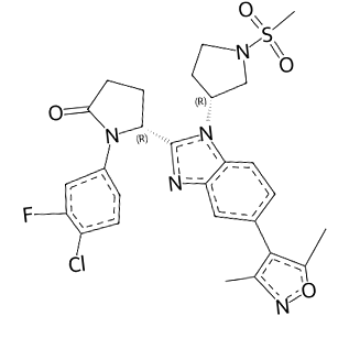 Cc1noc(C)c1-c1ccc2c(c1)nc([C@H]1CCC(=O)N1c1ccc(Cl)c(F)c1)n2[C@@H]1CCN(S(C)(=O)=O)C1